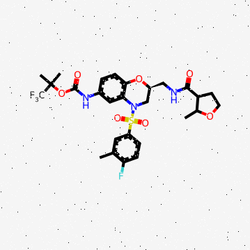 Cc1cc(S(=O)(=O)N2C[C@H](CNC(=O)C3CCOC3C)Oc3ccc(NC(=O)OC(C)(C)C(F)(F)F)cc32)ccc1F